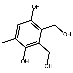 Cc1cc(O)c(CO)c(CO)c1O